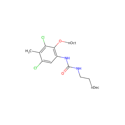 CCCCCCCCCCCCNC(=O)Nc1cc(Cl)c(C)c(Cl)c1OCCCCCCCC